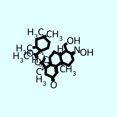 COC(=O)[C@]1(CC[C@]2(C)CC(=O)C=C3[C@@]4(C)CCC(=NO)C(CO)[C@@H]4CC[C@]32C)CCC(C)(C)CC1C